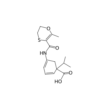 CC1=C(C(=O)NC2=CC=CC(C(=O)O)(C(C)C)C2)SCCO1